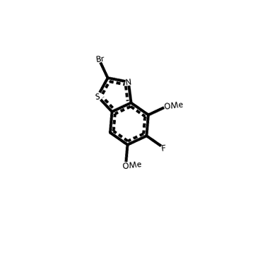 COc1cc2sc(Br)nc2c(OC)c1F